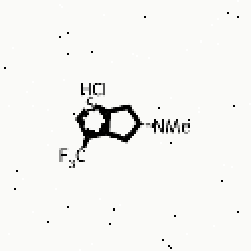 CN[C@H]1Cc2scc(C(F)(F)F)c2C1.Cl